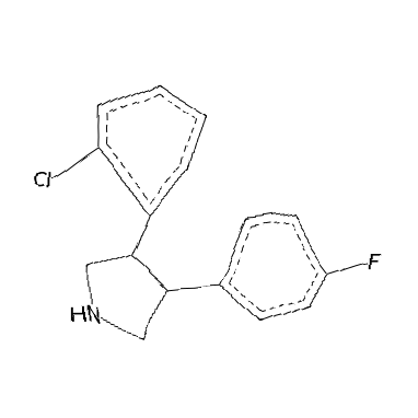 Fc1ccc(C2CNCC2c2ccccc2Cl)cc1